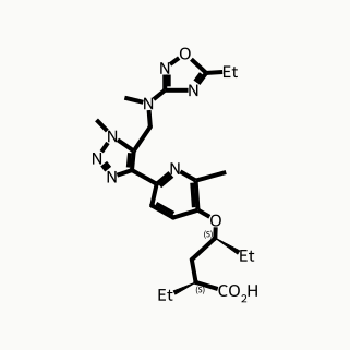 CCc1nc(N(C)Cc2c(-c3ccc(O[C@@H](CC)C[C@H](CC)C(=O)O)c(C)n3)nnn2C)no1